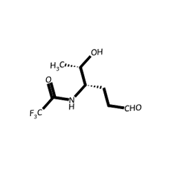 C[C@H](O)[C@H](CCC=O)NC(=O)C(F)(F)F